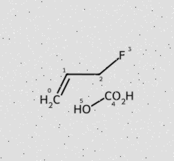 C=CCF.O=C(O)O